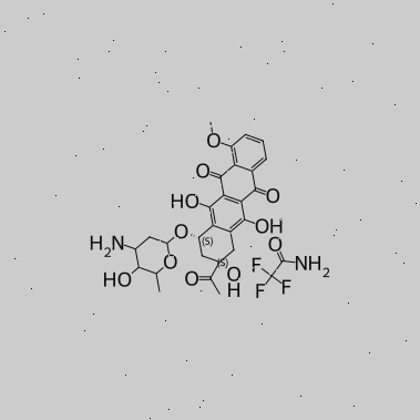 COc1cccc2c1C(=O)c1c(O)c3c(c(O)c1C2=O)C[C@@](O)(C(C)=O)C[C@@H]3OC1CC(N)C(O)C(C)O1.NC(=O)C(F)(F)F